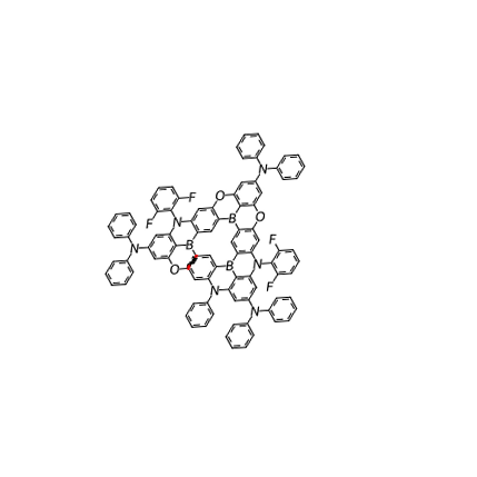 Fc1cccc(F)c1N1c2cc3c(cc2B2c4ccccc4Oc4cc(N(c5ccccc5)c5ccccc5)cc1c42)B1c2cc4c(cc2Oc2cc(N(c5ccccc5)c5ccccc5)cc(c21)O3)N(c1c(F)cccc1F)c1cc(N(c2ccccc2)c2ccccc2)cc2c1B4c1ccccc1N2c1ccccc1